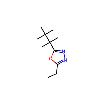 CCc1nnc(C(C)(C)C(C)(C)C)o1